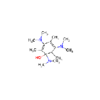 CC1=C(N(C)C)C(C)C(O)(N(C)C)C(C)=C1N(C)C